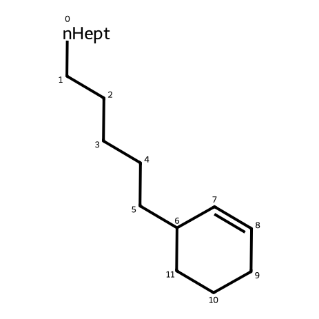 CCCCCCCCCCCCC1C=CCCC1